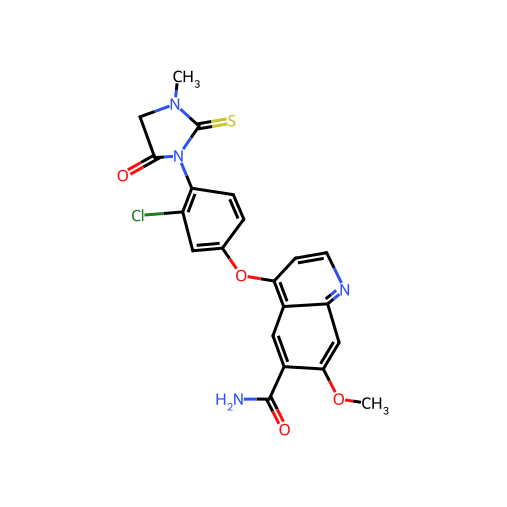 COc1cc2nccc(Oc3ccc(N4C(=O)CN(C)C4=S)c(Cl)c3)c2cc1C(N)=O